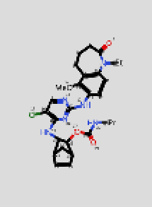 CCN1C(=O)CCCc2c1ccc(Nc1ncc(Cl)c(NC3C4C=CC(C4)C3OC(=O)NC(C)C)n1)c2OC